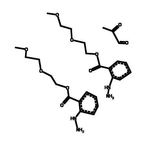 CC(=O)C=O.COCCOCCOC(=O)c1ccccc1NN.COCCOCCOC(=O)c1ccccc1NN